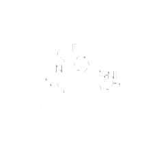 Cc1c(Cc2ccc(F)c(C(=O)N3CCN(C4CCCC(C)(C)C4)C(=O)C3)c2)n[nH]c(=O)c1C